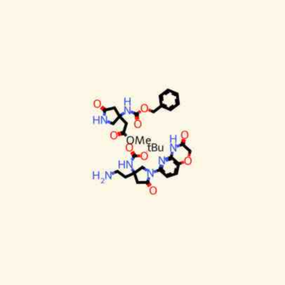 CC(C)(C)OC(=O)NC1(CCN)CC(=O)N(c2ccc3c(n2)NC(=O)CO3)C1.COC(=O)CC1(NC(=O)OCc2ccccc2)CNC(=O)C1